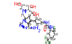 Nc1nncn2c(CN(CCO)CCO)c(CO)c(-c3ccc(NC(=O)Nc4cc(C(F)(F)F)ccc4F)cc3)c12